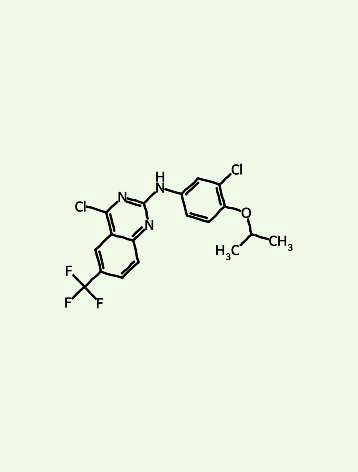 CC(C)Oc1ccc(Nc2nc(Cl)c3cc(C(F)(F)F)ccc3n2)cc1Cl